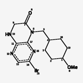 COC1CCC(CN2C(=O)CNc3ncc(Br)nc32)CC1